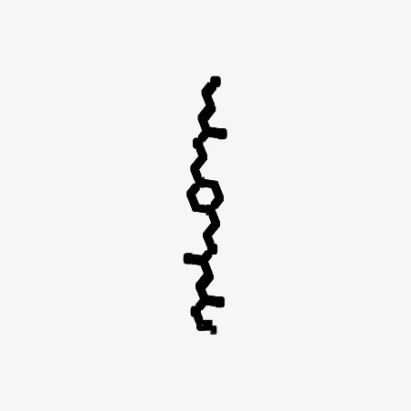 COC(=O)/C=C/C(=O)OCCN1CCN(CCOC(=O)/C=C/C=O)CC1